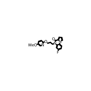 COc1ccc(OCCCn2c(=O)c3cccn3c3ccc(F)cc32)nc1